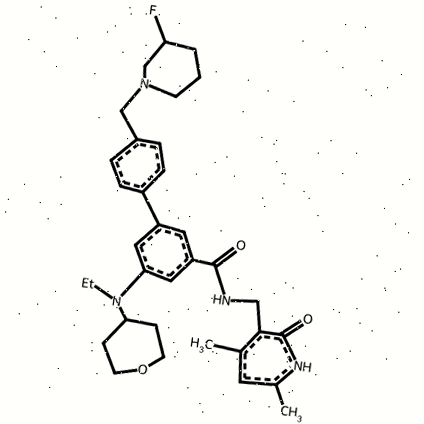 CCN(c1cc(C(=O)NCc2c(C)cc(C)[nH]c2=O)cc(-c2ccc(CN3CCCC(F)C3)cc2)c1)C1CCOCC1